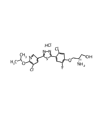 CC(C)Oc1ncc(-c2nnc(-c3cc(F)c(OC[C@@H](N)CO)cc3Cl)s2)cc1Cl.Cl